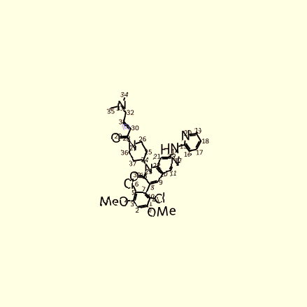 COc1cc(OC)c(Cl)c(-c2cc3cnc(Nc4ccccn4)cc3n(C3CCN(C(=O)/C=C/CN(C)C)CC3)c2=O)c1Cl